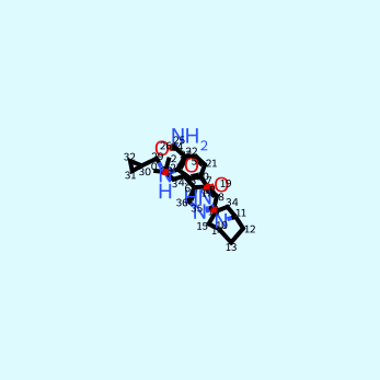 CC(C)CC(=O)c1ccc(N2C3CCC2CC(NC(=O)c2ccc(C(N)=O)c(NCC4CC4)c2)C3)nc1